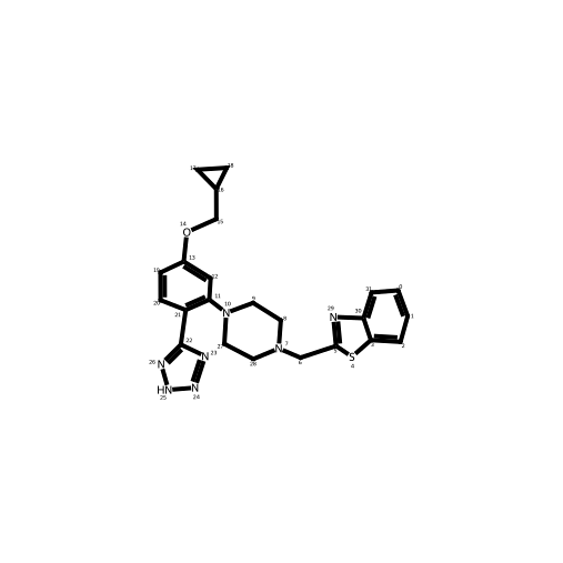 c1ccc2sc(CN3CCN(c4cc(OCC5CC5)ccc4-c4nn[nH]n4)CC3)nc2c1